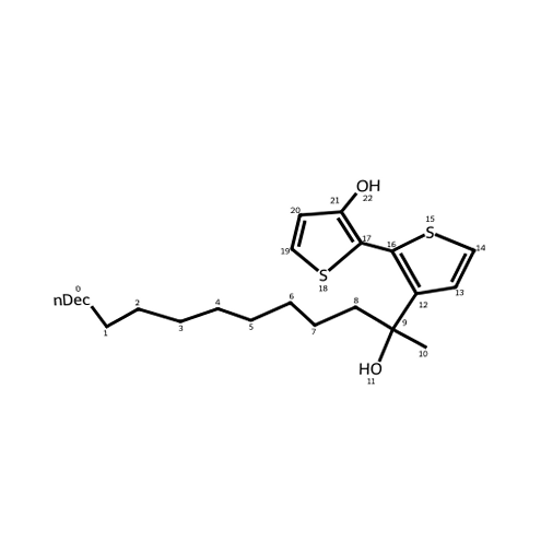 CCCCCCCCCCCCCCCCCCC(C)(O)c1ccsc1-c1sccc1O